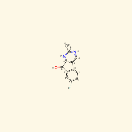 O=C1c2cc(F)ccc2-c2cnc(C(F)(F)F)nc21